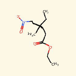 CCOC(=O)CC(C)(CC)C[N+](=O)[O-]